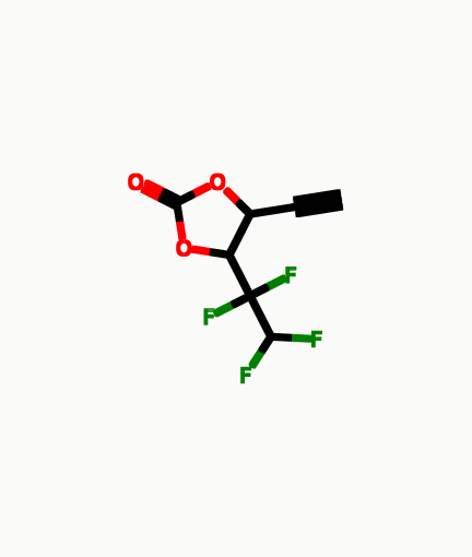 C#CC1OC(=O)OC1C(F)(F)C(F)F